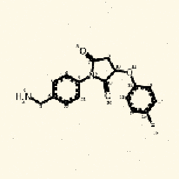 NCc1ccc(N2C(=O)CC(Oc3ccc(F)cc3)C2=O)cc1